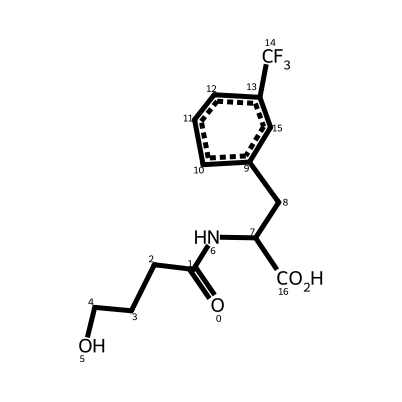 O=C(CCCO)NC(Cc1cccc(C(F)(F)F)c1)C(=O)O